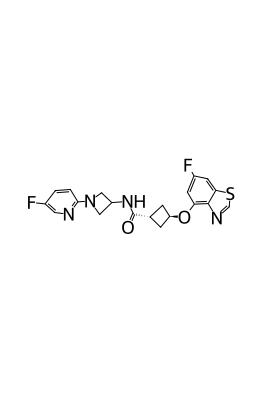 O=C(NC1CN(c2ccc(F)cn2)C1)[C@H]1C[C@H](Oc2cc(F)cc3scnc23)C1